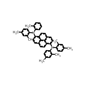 Cc1ccc(N(c2ccccc2C)c2ccc3ccc4c(N(c5ccc(C)cc5C)c5ccc(C)cc5C)ccc5ccc2c3c54)c(C)c1